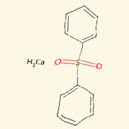 O=S(=O)(c1ccccc1)c1ccccc1.[CaH2]